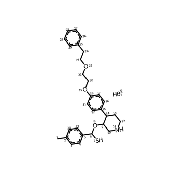 Br.Cc1ccc(C(S)OC2CNCCC2c2ccc(OCCOCCc3ccccc3)cc2)cc1